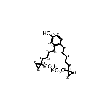 O=C(O)C1(CCCCCc2ccc(O)cc2CCCCC2(C(=O)O)CC2)CC1